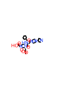 COC(=O)C[C@@H]1C(=O)N(CC(=O)O)CCN1C(=O)[C@H](CC(=O)N1CCN(c2ccncc2)CC1)NCc1ccccc1